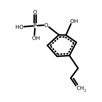 C=CCc1ccc(OP(=O)(O)O)c(O)c1